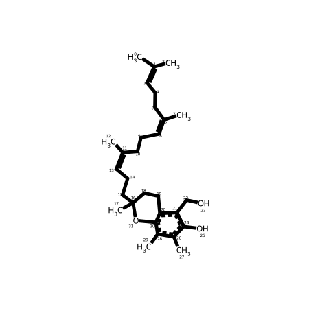 CC(C)=CCCC(C)=CCCC(C)=CCCC1(C)CCc2c(CO)c(O)c(C)c(C)c2O1